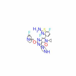 Nc1nc2c(-c3c(F)c4nc(OC[C@@]56CCCN5C[C@H](F)C6)nc(N5C6CCC5CNC6)c4c(=O)n3C3CC3)ccc(F)c2s1